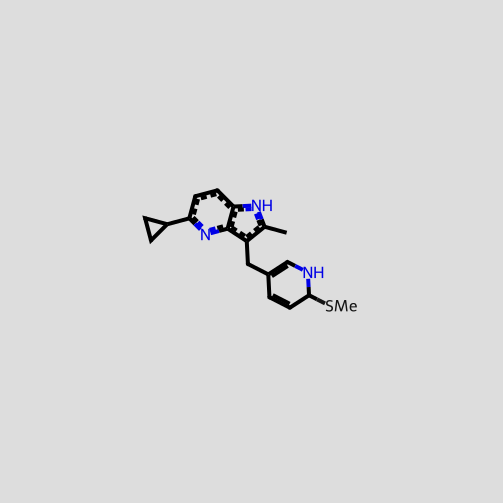 CSC1C=CC(Cc2c(C)[nH]c3ccc(C4CC4)nc23)=CN1